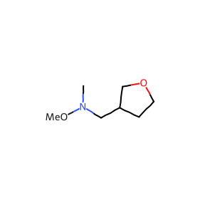 CON(C)CC1CCOC1